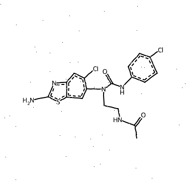 CC(=O)NCCN(C(=O)Nc1ccc(Cl)cc1)c1cc2sc(N)nc2cc1Cl